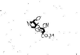 N#Cc1cc(C(=O)O)sc1Sc1c(Cl)cncc1Cl